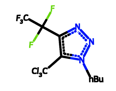 CCCCn1nnc(C(F)(F)C(F)(F)F)c1C(Cl)(Cl)Cl